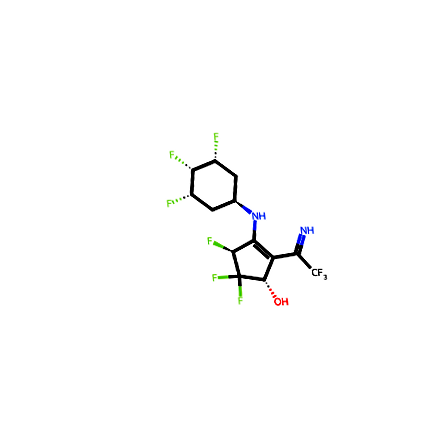 N=C(C1=C(N[C@@H]2C[C@@H](F)[C@@H](F)[C@@H](F)C2)[C@H](F)C(F)(F)[C@H]1O)C(F)(F)F